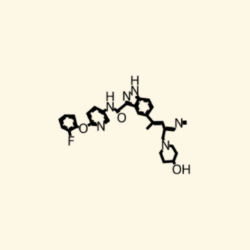 C=N/C=C(\C=C(/C)c1ccc2[nH]nc(C(=O)Nc3ccc(Oc4ccccc4F)nc3)c2c1)CN1CCC(O)CC1